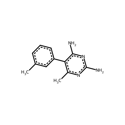 Cc1cccc(-c2c(C)nc(N)nc2N)c1